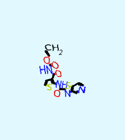 C=CCOC(=O)NC(=O)c1ccsc1NC(=O)c1nc2cnccc2s1